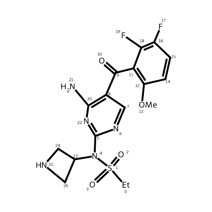 CCS(=O)(=O)N(c1ncc(C(=O)c2c(OC)ccc(F)c2F)c(N)n1)C1CNC1